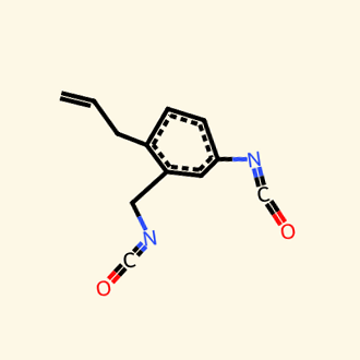 C=CCc1ccc(N=C=O)cc1CN=C=O